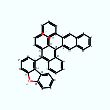 c1ccc(-c2cc3ccccc3cc2-c2c3ccccc3c(-c3cccc4oc5ccccc5c34)c3ccccc23)cc1